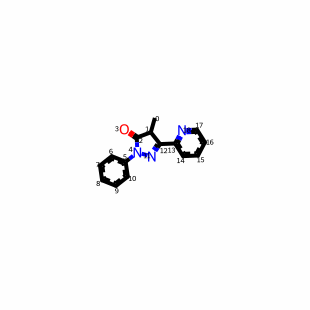 CC1C(=O)N(c2ccccc2)N=C1c1ccccn1